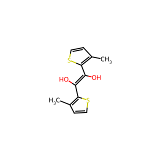 Cc1ccsc1/C(O)=C(\O)c1sccc1C